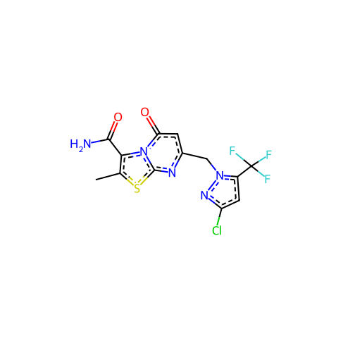 Cc1sc2nc(Cn3nc(Cl)cc3C(F)(F)F)cc(=O)n2c1C(N)=O